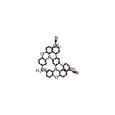 Cc1ccc2c(c1)N(c1cc(N3c4cc(C)ccc4Oc4ccc(C)cc43)c(-c3ccc(C#N)cc3)cc1-c1ccc(C#N)cc1)c1cc(C)ccc1O2